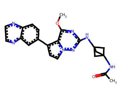 COc1nc(NC23CC(NC(C)=O)(C2)C3)nn2ccc(-c3ccc4nccnc4c3)c12